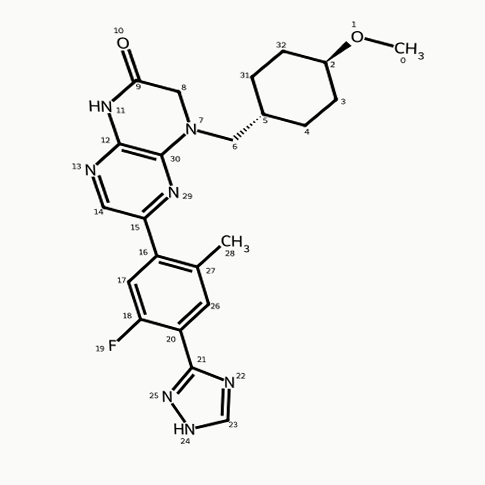 CO[C@H]1CC[C@H](CN2CC(=O)Nc3ncc(-c4cc(F)c(-c5nc[nH]n5)cc4C)nc32)CC1